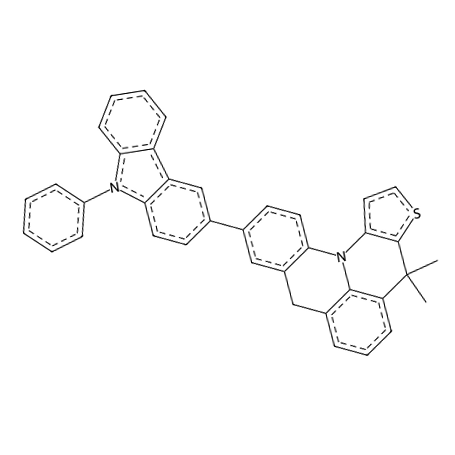 CC1(C)c2cccc3c2N(c2ccc(-c4ccc5c(c4)c4ccccc4n5-c4ccccc4)cc2C3)c2ccsc21